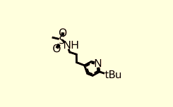 CC(C)(C)c1ccc(CCCNS(C)(=O)=O)cn1